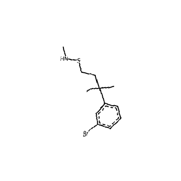 CNSCCC(C)(C)c1cccc(Br)c1